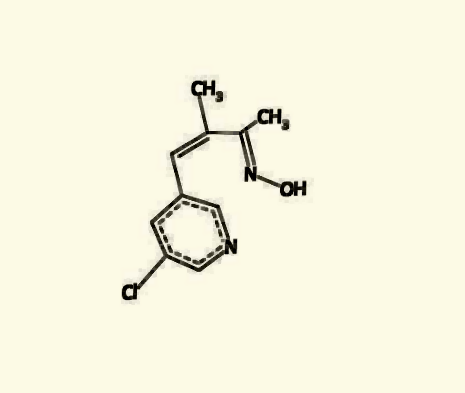 CC(=Cc1cncc(Cl)c1)C(C)=NO